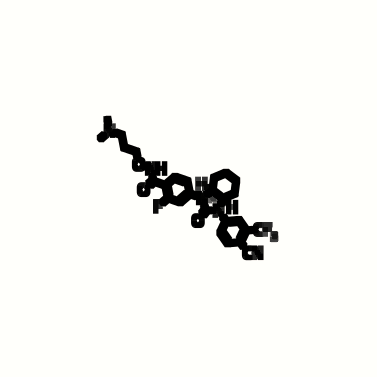 CN(C)CCCONC(=O)c1ccc(N2C(=O)N(c3ccc(C#N)c(C(F)(F)F)c3)[C@H]3CCCC[C@@H]32)cc1F